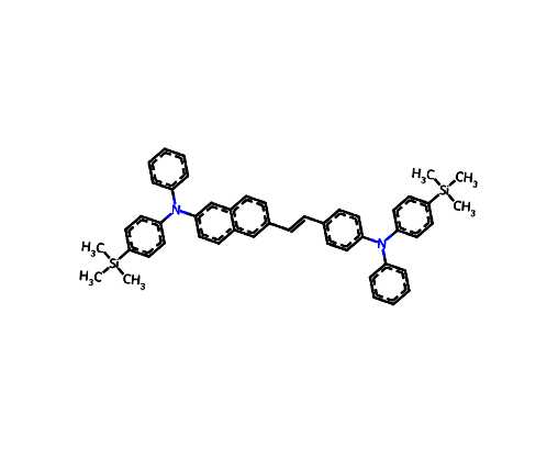 C[Si](C)(C)c1ccc(N(c2ccccc2)c2ccc(/C=C/c3ccc4cc(N(c5ccccc5)c5ccc([Si](C)(C)C)cc5)ccc4c3)cc2)cc1